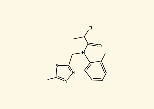 Cc1nnc(CN(C(=O)C(C)Cl)c2ccccc2C)s1